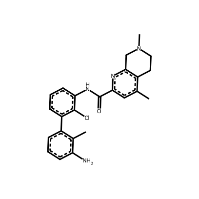 Cc1cc(C(=O)Nc2cccc(-c3cccc(N)c3C)c2Cl)nc2c1CCN(C)C2